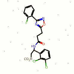 O=C(O)CC(NC(=O)CCc1nc(-c2ccccc2F)no1)c1cccc(Cl)c1Cl